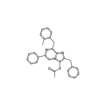 CC(=O)Oc1c(Cc2ccccc2)nc2c(Cc3ccccc3C)nc(-c3ccccc3)cn12